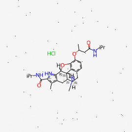 Cc1c(C(=O)NC(C)C)[nH]c2c1C[C@@H]1[C@@H]3Cc4ccc(OC(C)CC(=O)NC(C)C)c5c4[C@@]1(CCN3C)[C@H]2O5.Cl